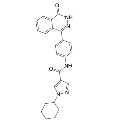 O=C(Nc1ccc(-c2n[nH]c(=O)c3ccccc23)cc1)c1cnn(C2CCCCC2)c1